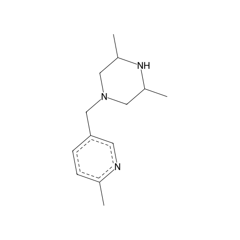 Cc1ccc(CN2CC(C)NC(C)C2)cn1